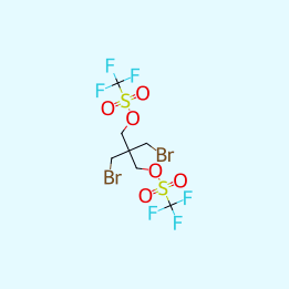 O=S(=O)(OCC(CBr)(CBr)COS(=O)(=O)C(F)(F)F)C(F)(F)F